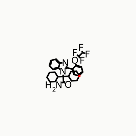 NC(=O)C(C1CCCCC1)(C1CCCCC1)n1c(-c2ccccc2OC(F)(F)C(F)F)nc2ccccc21